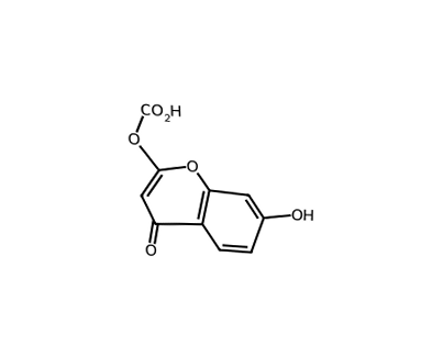 O=C(O)Oc1cc(=O)c2ccc(O)cc2o1